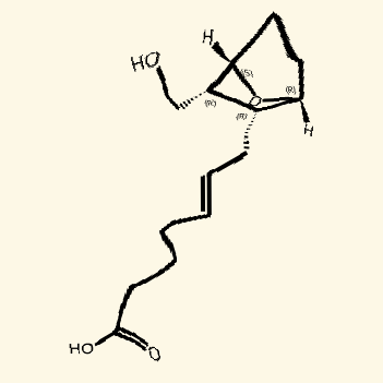 O=C(O)CCCC=CC[C@@H]1[C@H](CO)[C@@H]2CC[C@H]1O2